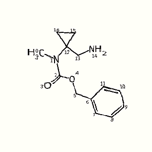 CN(C(=O)OCc1ccccc1)C1(CN)CC1